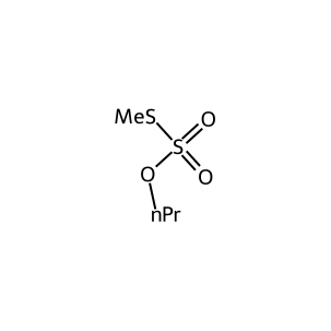 CCCOS(=O)(=O)SC